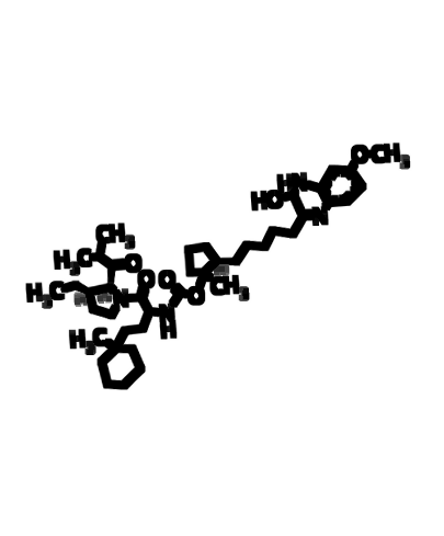 CC[C@@H]1CCN(C(=O)C(CCC2(C)CCCCC2)NC(=O)OC2(C)CCC[C@H]2CCCCCC2=Nc3ccc(OC)cc3NC2O)[C@@H]1C(=O)C(C)C